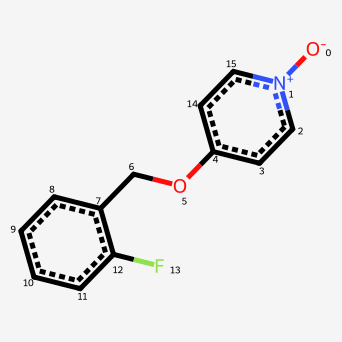 [O-][n+]1ccc(OCc2ccccc2F)cc1